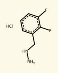 Cl.NNCc1cccc(F)c1F